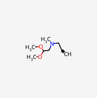 C#CCN(C)CC(OC)OC